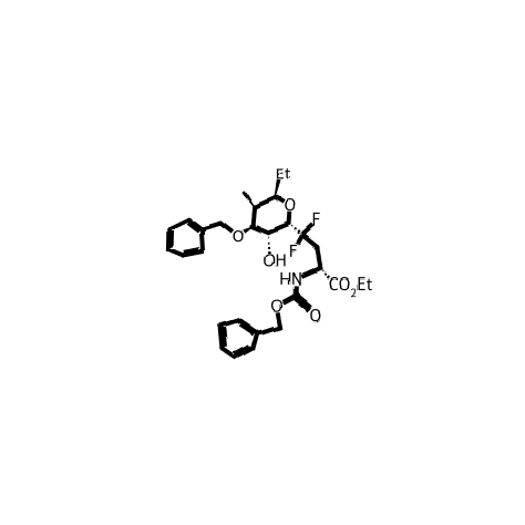 CCOC(=O)[C@@H](CC(F)(F)[C@H]1O[C@H](CC)[C@H](C)[C@H](OCc2ccccc2)[C@H]1O)NC(=O)OCc1ccccc1